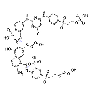 Nc1ccc2c(O)c(/N=N/c3cc(Nc4nc(Cl)nc(Nc5ccc(S(=O)(=O)CCOS(=O)(=O)O)cc5)n4)ccc3S(=O)(=O)O)c(SOOO)cc2c1/N=N/c1ccc(S(=O)(=O)CCSOOO)cc1S(=O)(=O)O